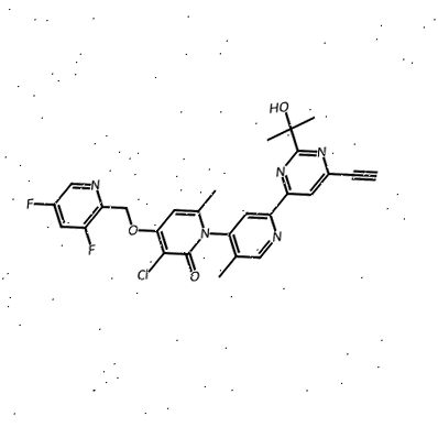 C#Cc1cc(-c2cc(-n3c(C)cc(OCc4ncc(F)cc4F)c(Cl)c3=O)c(C)cn2)nc(C(C)(C)O)n1